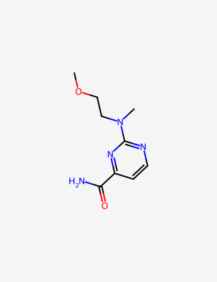 COCCN(C)c1nccc(C(N)=O)n1